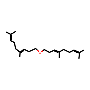 CC(C)=CCC/C(C)=C/CCOCC/C=C(\C)CCC=C(C)C